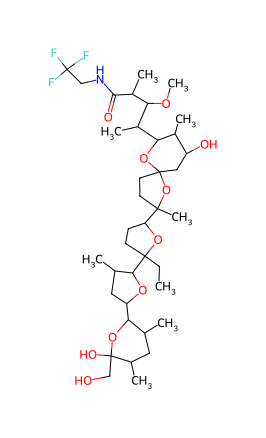 CCC1(C2OC(C3OC(O)(CO)C(C)CC3C)CC2C)CCC(C2(C)CCC3(CC(O)C(C)C(C(C)C(OC)C(C)C(=O)NCC(F)(F)F)O3)O2)O1